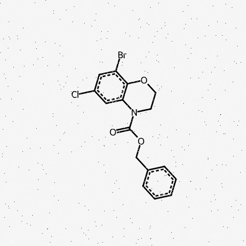 O=C(OCc1ccccc1)N1CCOc2c(Br)cc(Cl)cc21